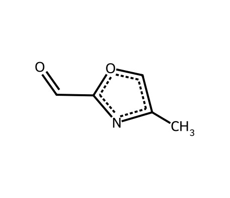 Cc1coc(C=O)n1